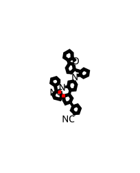 N#Cc1cccc(-c2ccc(C#N)c(-c3ccc(-n4c5ccccc5c5c6oc7ccccc7c6ccc54)cc3-n3c4ccccc4c4ccccc43)c2)c1